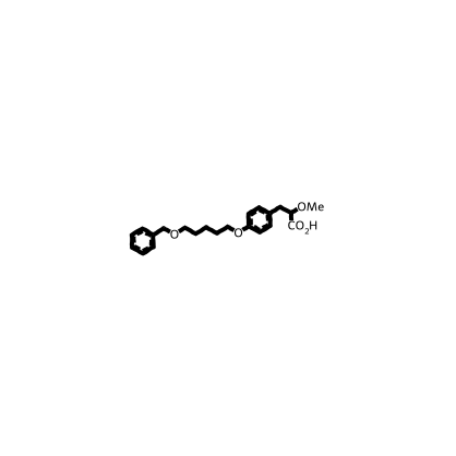 COC(Cc1ccc(OCCCCCOCc2ccccc2)cc1)C(=O)O